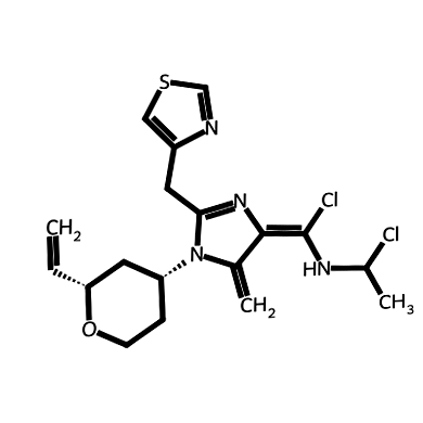 C=C[C@@H]1C[C@H](n2c(Cc3cscn3)n/c(=C(\Cl)NC(C)Cl)c2=C)CCO1